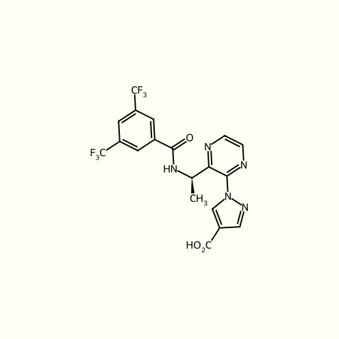 C[C@@H](NC(=O)c1cc(C(F)(F)F)cc(C(F)(F)F)c1)c1nccnc1-n1cc(C(=O)O)cn1